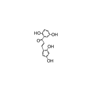 O=C(/C=C/c1ccc(O)cc1O)c1cc(O)ccc1O